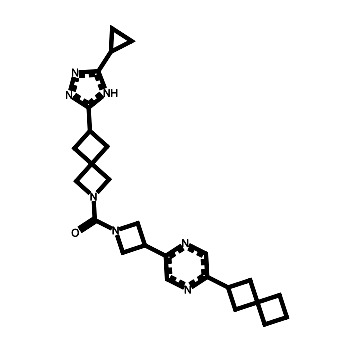 O=C(N1CC(c2cnc(C3CC4(CCC4)C3)cn2)C1)N1CC2(CC(c3nnc(C4CC4)[nH]3)C2)C1